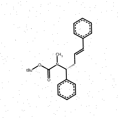 CN(C(=O)OC(C)(C)C)[C@H](CC=Cc1ccccc1)c1ccccc1